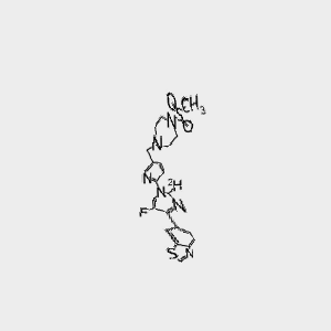 [2H]C1N=C(c2ccc3ncsc3c2)C(F)=CN1c1ccc(CN2CCN(S(C)(=O)=O)CC2)cn1